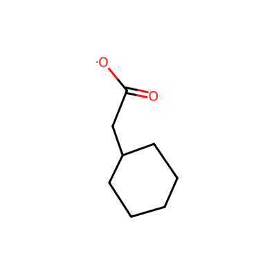 [O]C(=O)CC1CCCCC1